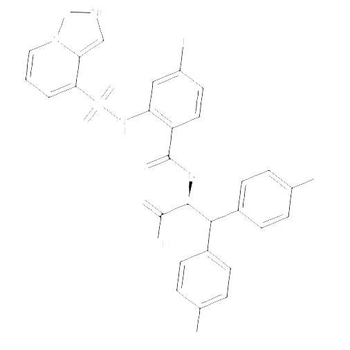 O=C(N[C@H](C(=O)O)C(c1ccc(Cl)cc1)c1ccc(Cl)cc1)c1ccc(I)cc1NS(=O)(=O)C1=CC=CN2SNC=C12